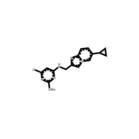 COc1nc(Cl)cc(NCc2cn3cc(C4CC4)ccc3n2)n1